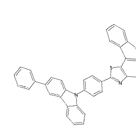 c1ccc(-c2ccc3c(c2)c2ccccc2n3-c2ccc(-c3nc4ccc5oc6ccccc6c5c4s3)cc2)cc1